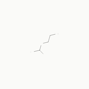 [CH2]CCC(CC)OCCO